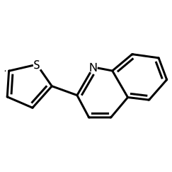 [c]1ccc(-c2ccc3ccccc3n2)s1